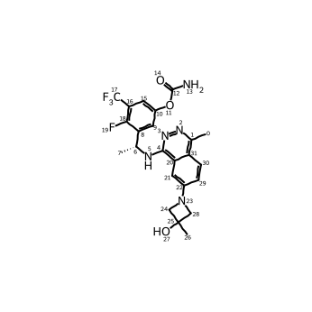 Cc1nnc(N[C@H](C)c2cc(OC(N)=O)cc(C(F)(F)F)c2F)c2cc(N3CC(C)(O)C3)ccc12